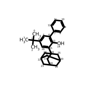 CC(C)(C)c1cc(-c2ccccc2)c(O)c(C23CC4CC(CC(C4)C2)C3)c1